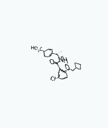 C[C@H](NC(=O)c1cc(Cl)ccc1OCC1CCC1)c1ccc(C(=O)O)cc1